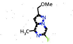 COCc1cc2c(C)nc(F)cn2n1